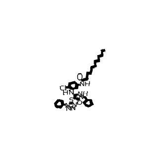 CCCCCCCCCCCC(=O)Nc1ccc(Cl)c(Nc2[nH]n(Cc3ccccc3)c(=O)c2Sc2nnnn2-c2ccccc2)c1